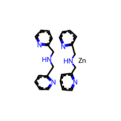 [Zn].c1ccc(CNCc2ccccn2)nc1.c1ccc(CNCc2ccccn2)nc1